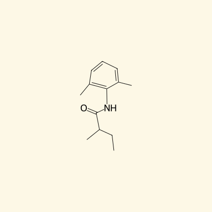 CCC(C)C(=O)Nc1c(C)cccc1C